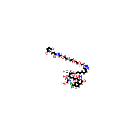 O=C(CCN1C(=O)C=CC1=O)NCCOCCOCCOCCOCCn1cc(CCCCCCO[C@]2(C(=O)O)C[C@H](O)[C@@H](NC(=O)CO)[C@H]([C@H](O)[C@H](O)CNC(=O)Cc3ccc(C(F)F)cc3)O2)nn1